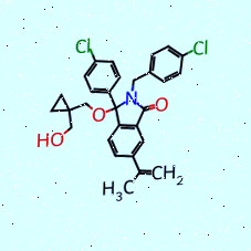 C=C(C)c1ccc2c(c1)C(=O)N(Cc1ccc(Cl)cc1)C2(OCC1(CO)CC1)c1ccc(Cl)cc1